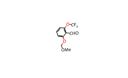 COCOc1cccc(OC(F)(F)F)c1C=O